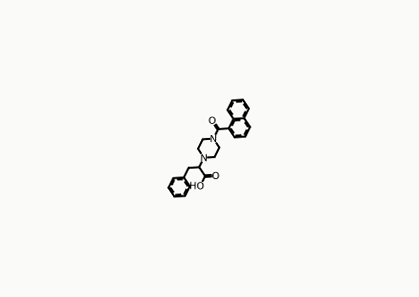 O=C(O)C(Cc1ccccc1)N1CCN(C(=O)c2cccc3ccccc23)CC1